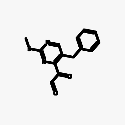 CSc1ncc(Cc2ccccc2)c(C(=O)C=O)n1